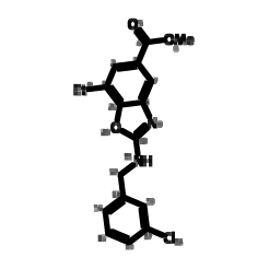 CCc1cc(C(=O)OC)cc2nc(NCc3cccc(Cl)c3)oc12